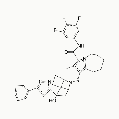 Cc1c(SN2C3CCC34C2CC4(O)c2cc(-c3ccccc3)on2)c2n(c1C(=O)Nc1cc(F)c(F)c(F)c1)CCCCC2